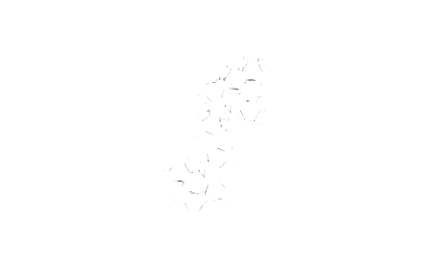 c1ccc(-c2ccccc2-n2c3ccccc3c3ccc(-c4ccc5c6ccccc6n(-c6ccccc6-c6cccc7ccccc67)c5c4)cc32)cc1